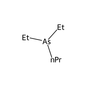 CCC[As](CC)CC